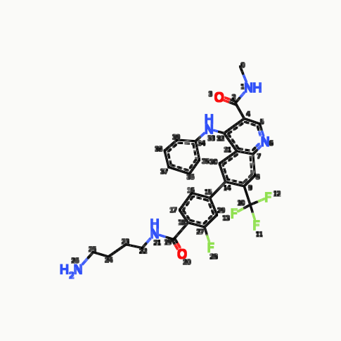 CNC(=O)c1cnc2cc(C(F)(F)F)c(-c3ccc(C(=O)NCCCCN)c(F)c3)cc2c1Nc1ccccc1